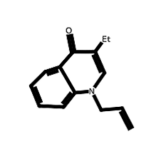 C=CCn1cc(CC)c(=O)c2ccccc21